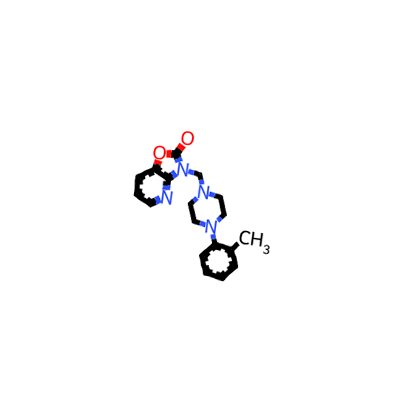 Cc1ccccc1N1CCN(Cn2c(=O)oc3cccnc32)CC1